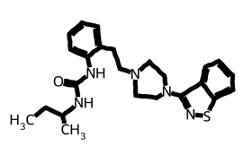 CCC(C)NC(=O)Nc1ccccc1CCN1CCN(c2nsc3ccccc23)CC1